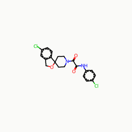 O=C(Nc1ccc(Cl)cc1)C(=O)N1CCC2(CC1)OCc1cc(Cl)ccc12